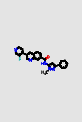 Cn1nc(-c2ccccc2)cc1NC(=O)c1ccc2cc(-c3ccncc3F)cnc2c1